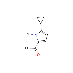 CCC(=O)c1ccc(C2CC2)n1CC